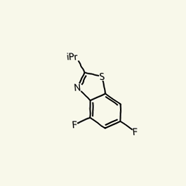 CC(C)c1nc2c(F)cc(F)cc2s1